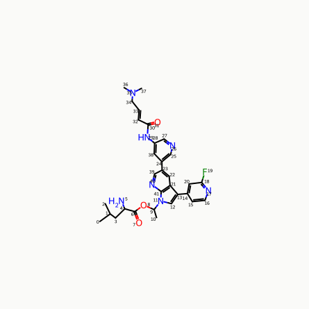 CC(C)CC(N)C(=O)OC(C)n1cc(-c2ccnc(F)c2)c2cc(-c3cncc(NC(=O)/C=C/CN(C)C)c3)cnc21